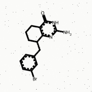 Nc1nc2c(c(=O)[nH]1)CCCC2Cc1cccc(Br)c1